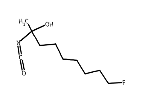 CC(O)(CCCCCCCF)N=C=O